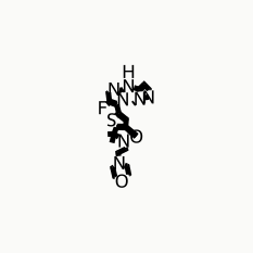 Cn1nccc1Nc1ncc(F)c(-c2cc3c(s2)C(C)(C)N(CCN2CCOCC2)C3=O)n1